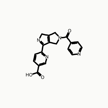 O=C(O)c1ccc(C2=NCC3=C2CN(C(=O)c2ccncc2)C3)nc1